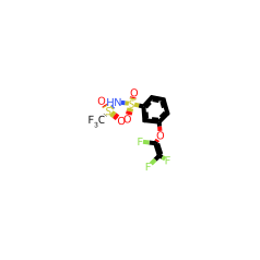 O=S(=O)(NS(=O)(=O)C(F)(F)F)c1cccc(OC(F)=C(F)F)c1